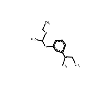 CCOC(C)Oc1cccc(C(C)CC)c1